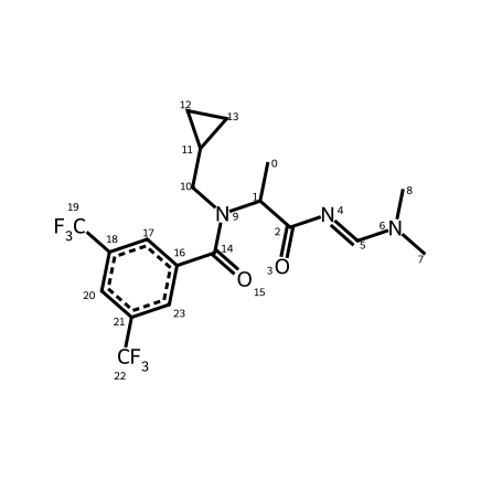 CC(C(=O)N=CN(C)C)N(CC1CC1)C(=O)c1cc(C(F)(F)F)cc(C(F)(F)F)c1